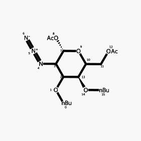 CCCCOC1C(N=[N+]=[N-])[C@H](OC(C)=O)OC(COC(C)=O)[C@H]1OCCCC